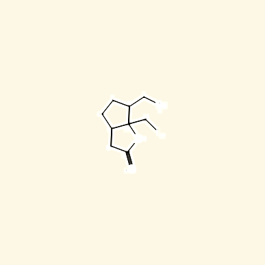 CC(=O)CC1CCC2CC(=O)OC12CI